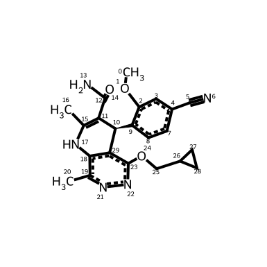 COc1cc(C#N)ccc1[C@@H]1C(C(N)=O)=C(C)Nc2c(C)nnc(OCC3CC3)c21